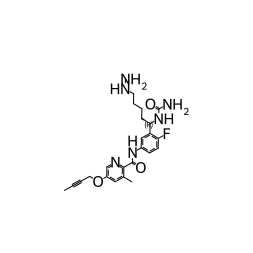 CC#CCOc1cnc(C(=O)Nc2ccc(F)c([C@@H](CCCCNN)NC(N)=O)c2)c(C)c1